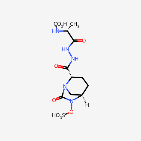 C[C@@H](NC(=O)O)C(=O)NNC(=O)[C@@H]1CC[C@@H]2CN1C(=O)N2OS(=O)(=O)O